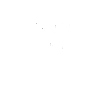 O=C(O)N(Cc1cn2cc(C3CC3)ccc2n1)c1ccnc(N=C(c2ccccc2)c2ccccc2)c1